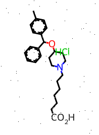 Cc1ccc(C(OC2CCN(CCCCCCC(=O)O)CC2)c2ccccc2)cc1.Cl